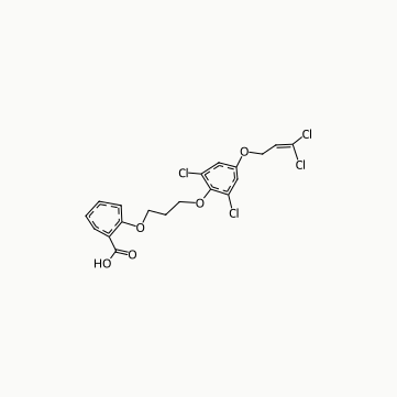 O=C(O)c1ccccc1OCCCOc1c(Cl)cc(OCC=C(Cl)Cl)cc1Cl